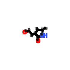 C[C@@H]1CC(CC=O)C(=O)N1